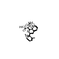 Cc1cccnc1-c1cc2cccnc2c(C(C(=O)O)S(N)(=O)=O)n1